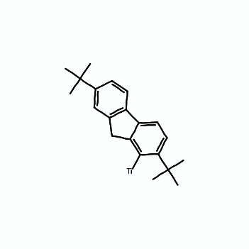 CC(C)(C)c1ccc2c(c1)Cc1c-2ccc(C(C)(C)C)[c]1[Ti]